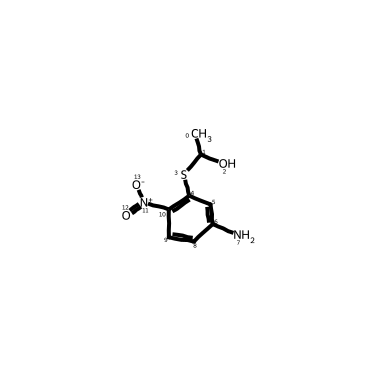 CC(O)Sc1cc(N)ccc1[N+](=O)[O-]